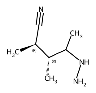 CC(NN)[C@H](C)[C@@H](C)C#N